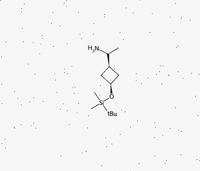 CC(N)[C@H]1C[C@@H](O[Si](C)(C)C(C)(C)C)C1